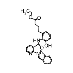 CCOC(=O)CCCc1cccc(O)c1NC(=O)c1cccnc1-n1cc2ccccc2n1